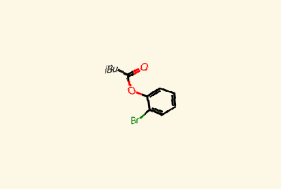 CCC(C)C(=O)Oc1ccccc1Br